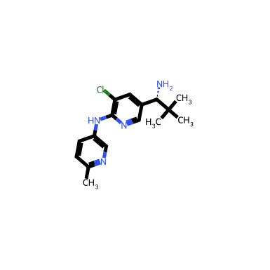 Cc1ccc(Nc2ncc([C@H](N)C(C)(C)C)cc2Cl)cn1